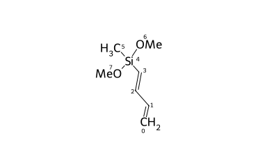 C=CC=C[Si](C)(OC)OC